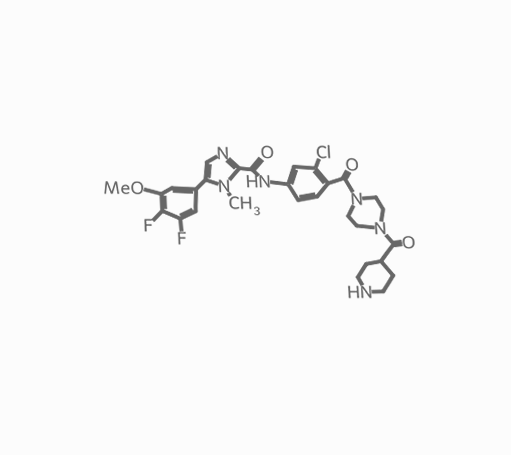 COc1cc(-c2cnc(C(=O)Nc3ccc(C(=O)N4CCN(C(=O)C5CCNCC5)CC4)c(Cl)c3)n2C)cc(F)c1F